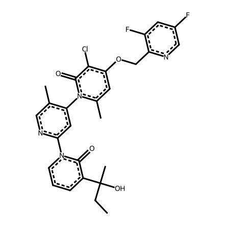 CCC(C)(O)c1cccn(-c2cc(-n3c(C)cc(OCc4ncc(F)cc4F)c(Cl)c3=O)c(C)cn2)c1=O